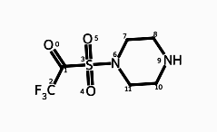 O=C(C(F)(F)F)S(=O)(=O)N1CCNCC1